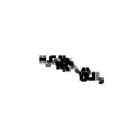 Cc1cnc(-c2ncc(CCC3COC(C)OC3)cn2)nc1